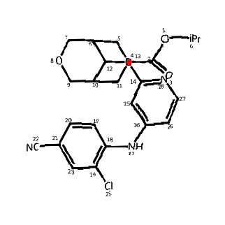 CC(C)OC(=O)N1CC2COCC(C1)C2Oc1cc(Nc2ccc(C#N)cc2Cl)ccn1